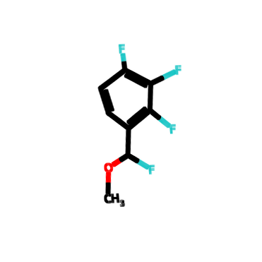 COC(F)c1ccc(F)c(F)c1F